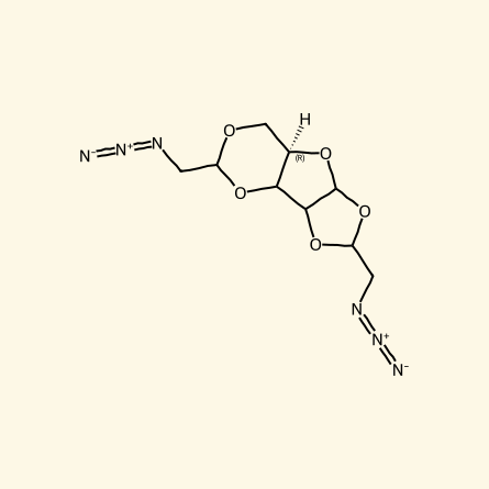 [N-]=[N+]=NCC1OC2O[C@@H]3COC(CN=[N+]=[N-])OC3C2O1